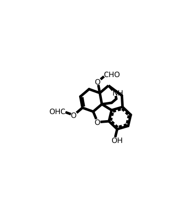 O=COC1=CCC2(OC=O)C3Cc4ccc(O)c5c4C2(CCN3)C1O5